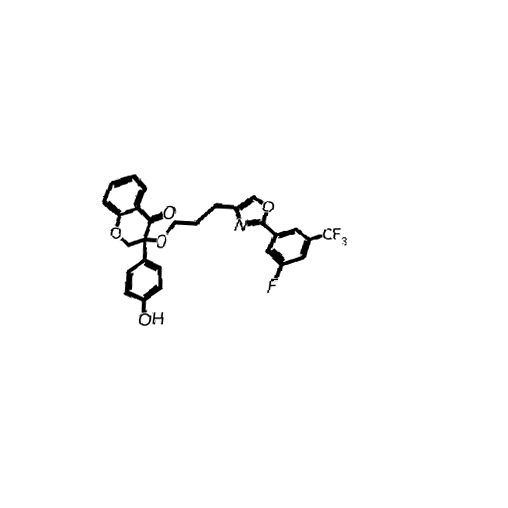 O=C1c2ccccc2OCC1(OCCCc1coc(-c2cc(F)cc(C(F)(F)F)c2)n1)c1ccc(O)cc1